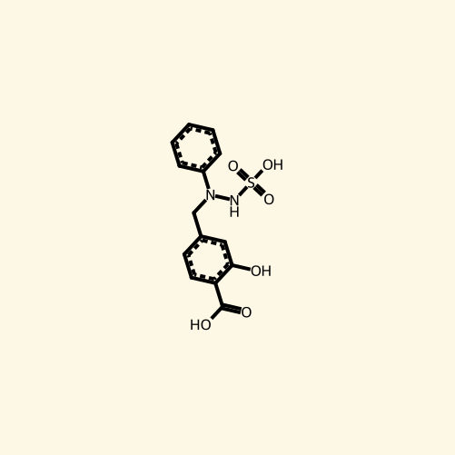 O=C(O)c1ccc(CN(NS(=O)(=O)O)c2ccccc2)cc1O